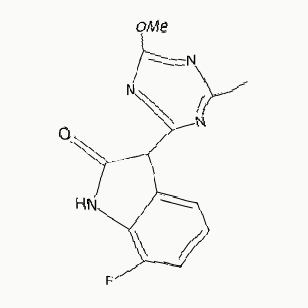 COc1nc(C)nc(C2C(=O)Nc3c(F)cccc32)n1